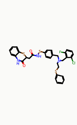 O=C(CC1Sc2ccccc2NC1=O)NSc1ccc(CN(CCSc2ccccc2)Cc2c(F)cccc2Cl)cc1